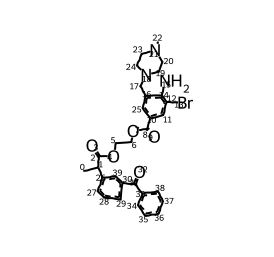 CC(C(=O)OCCOC(=O)c1cc(Br)c(N)c(CN2CCN(C)CC2)c1)c1cccc(C(=O)c2ccccc2)c1